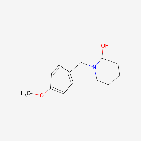 COc1ccc(CN2CCCCC2O)cc1